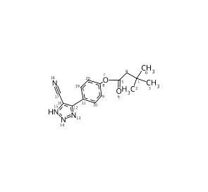 CC(C)(C)CC(=O)Oc1ccc(-c2nn[nH]c2C#N)cc1